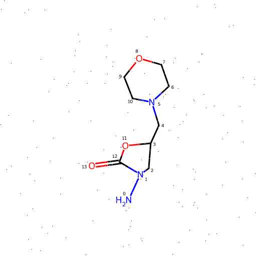 NN1CC(CN2CCOCC2)OC1=O